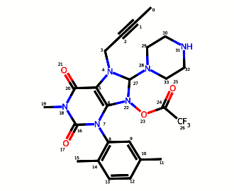 CC#CCN1c2c(n(-c3cc(C)ccc3C)c(=O)n(C)c2=O)N(OC(=O)C(F)(F)F)C1N1CCNCC1